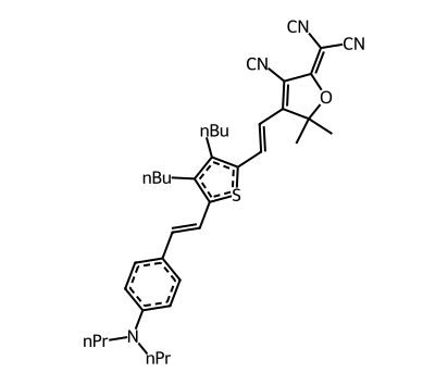 [C-]#[N+]C1=C(/C=C/c2sc(/C=C/c3ccc(N(CCC)CCC)cc3)c(CCCC)c2CCCC)C(C)(C)O/C1=C(\C#N)[N+]#[C-]